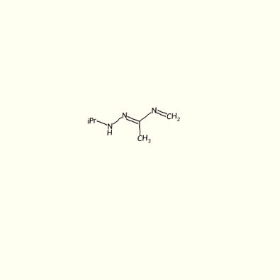 C=N/C(C)=N/NC(C)C